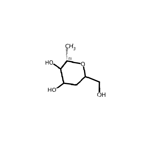 C[C@@H]1OC(CO)CC(O)C1O